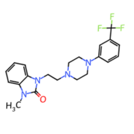 Cn1c(=O)n(CCN2CCN(c3cccc(C(F)(F)F)c3)CC2)c2ccccc21